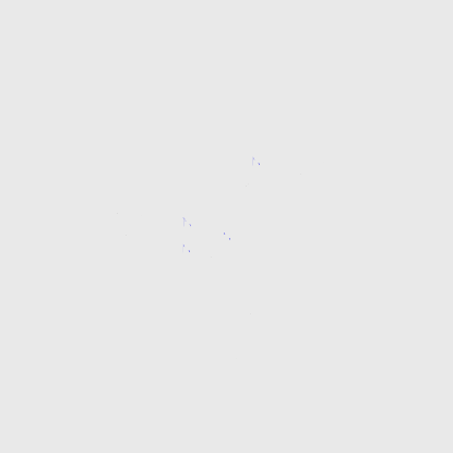 O=C(Cc1nc(-c2ccc(Cl)c(F)c2)nn1CC1CC1)N[C@H]1CCc2ccccc21